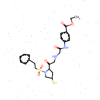 CCOC(=O)c1ccc(NC(=O)CNCC(=O)C2CC(S)CN2S(=O)(=O)CCc2ccccc2)cc1